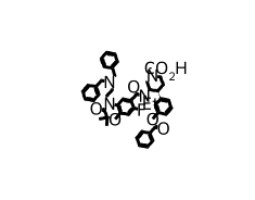 CCN(C(=O)c1cc2c(cc1F)OC(C)(C)C(=O)N2CCN(Cc1ccccc1)Cc1ccccc1)[C@H]1CN(C(=O)O)CC[C@@H]1c1cccc(OC(=O)c2ccccc2)c1